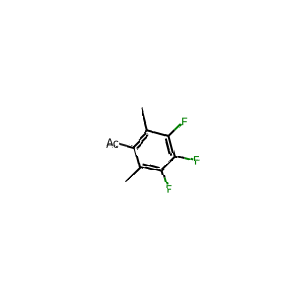 CC(=O)c1c(C)c(F)c(F)c(F)c1C